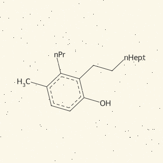 CCCCCCCCCc1c(O)ccc(C)c1CCC